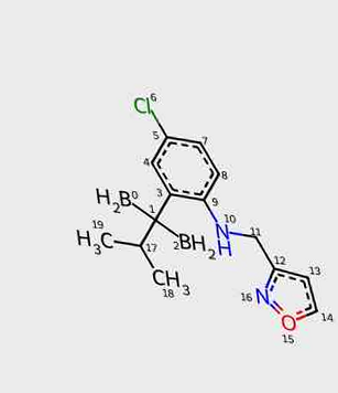 BC(B)(c1cc(Cl)ccc1NCc1ccon1)C(C)C